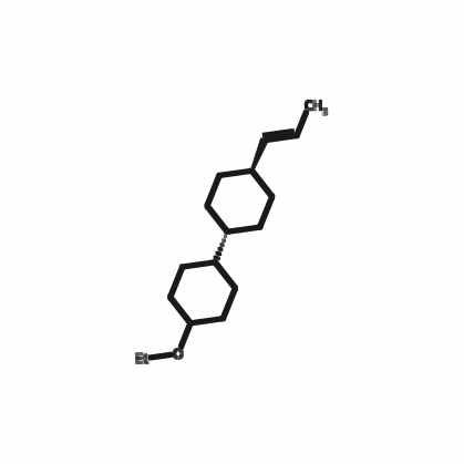 C/C=C/[C@H]1CC[C@H](C2CCC(OCC)CC2)CC1